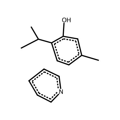 Cc1ccc(C(C)C)c(O)c1.c1ccncc1